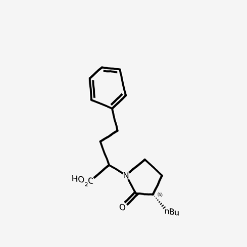 CCCC[C@H]1CCN(C(CCc2ccccc2)C(=O)O)C1=O